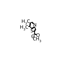 COC(=O)c1cc2ncc(C)c(C)c2s1